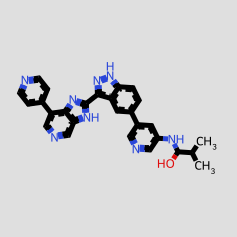 CC(C)C(O)Nc1cncc(-c2ccc3[nH]nc(-c4nc5c(-c6ccncc6)cncc5[nH]4)c3c2)c1